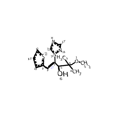 COC(C)(C)C(O)/C(=C/c1cccs1)n1cncn1